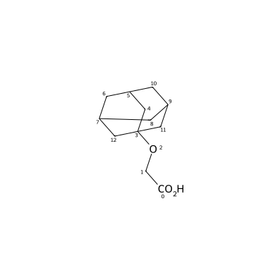 O=C(O)COC12CC3CC(CC(C3)C1)C2